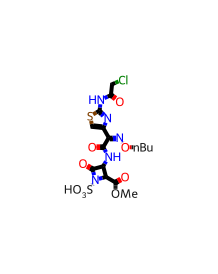 CCCCON=C(C(=O)NC1C(=O)N(S(=O)(=O)O)C1C(=O)OC)c1csc(NC(=O)CCl)n1